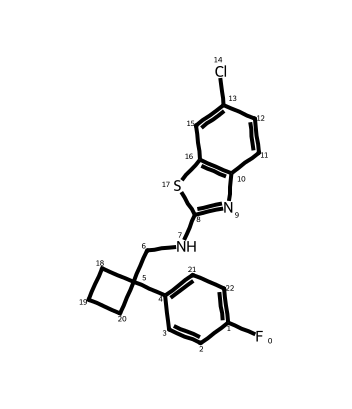 Fc1ccc(C2(CNc3nc4ccc(Cl)cc4s3)CCC2)cc1